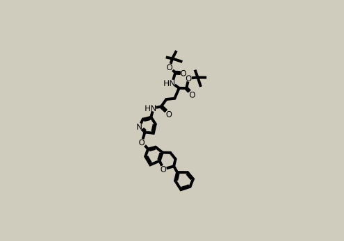 CC(C)(C)OC(=O)NC(CCC(=O)Nc1ccc(Oc2ccc3c(c2)CCC(c2ccccc2)O3)nc1)C(=O)OC(C)(C)C